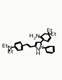 CCN(CC)c1ccc(C=CC2=CC(C3=C(N)CC(CC)(CC)C=C3)N(c3ccccc3)N2)cc1